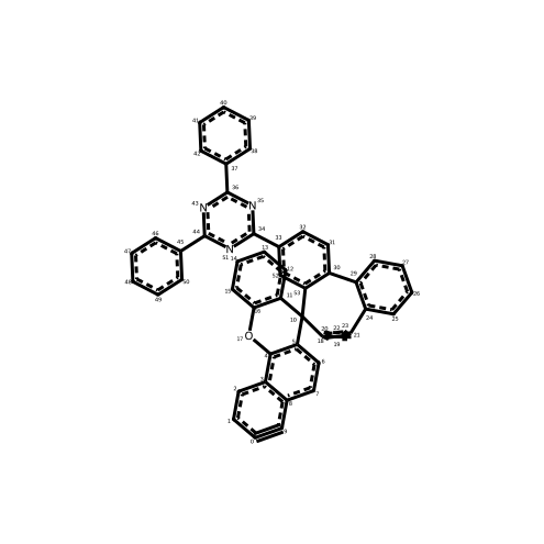 c1ccc2c3c(ccc2c#1)C1(c2ccccc2O3)c2ccccc2-c2ccccc2-c2ccc(-c3nc(-c4ccccc4)nc(-c4ccccc4)n3)cc21